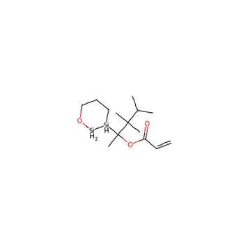 C=CC(=O)OC(C)([SiH]1CCCO[SiH2]1)C(C)(C)C(C)C